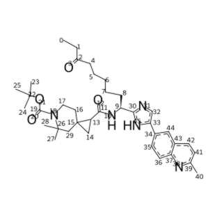 CCC(=O)CCCCC[C@H](NC(=O)C1CC12CCN(C(=O)OC(C)(C)C)C(C)(C)C2)c1ncc(-c2ccc3nc(C)ccc3c2)[nH]1